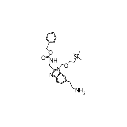 C[Si](C)(C)CCOCn1c(CNC(=O)OCc2ccccc2)nc2ccc(CCN)cc21